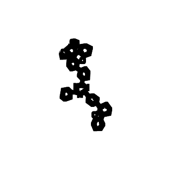 c1ccc(-c2nc(-c3ccc(-c4cccc5c4oc4ccccc45)cc3)nc(-c3cccc(-c4cccc5c4Oc4ccccc4C54c5ccccc5-c5ccccc54)c3)n2)cc1